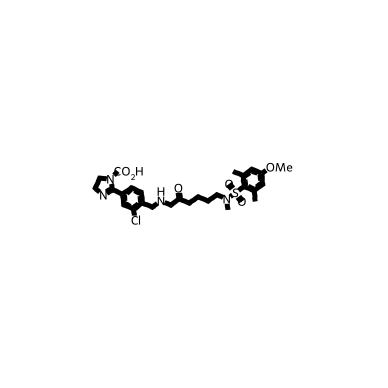 COc1cc(C)c(S(=O)(=O)N(C)CCCCC(=O)CNCc2ccc(C3=NCCN3C(=O)O)cc2Cl)c(C)c1